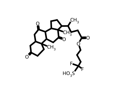 CC(CCC(=O)OCCCC(F)(F)S(=O)(=O)O)C1CCC2C3C(=O)CC4CC(=O)CCC4(C)C3CC(=O)C12C